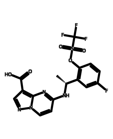 C[C@@H](Nc1ccn2ncc(C(=O)O)c2n1)c1cc(F)ccc1OS(=O)(=O)C(F)(F)F